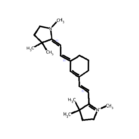 CN1CCC(C)(C)/C1=C\C=C1C=C(/C=C/C2=[N+](C)CCC2(C)C)CCC\1